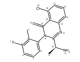 Cc1c(F)cccc1-n1c([C@H](C)N)nc2cccc(Cl)c2c1=O